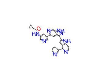 O=C(Nc1cncc(-c2cc3c(-c4cc5c(-c6cccnc6)nccc5[nH]4)n[nH]c3cn2)c1)C1CC1